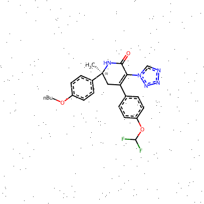 CCCCOc1ccc([C@]2(C)CC(c3ccc(OC(F)F)cc3)=C(n3cnnn3)C(=O)N2)cc1